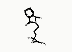 CC1OC1(C)CCCN1C(=O)c2ccccc2C1=O